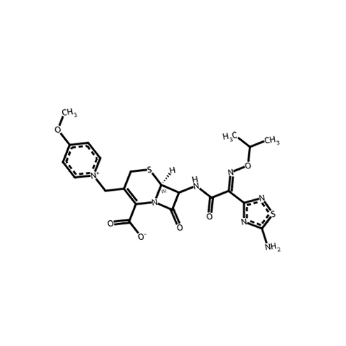 COc1cc[n+](CC2=C(C(=O)[O-])N3C(=O)C(NC(=O)C(=NOC(C)C)c4nsc(N)n4)[C@@H]3SC2)cc1